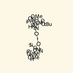 COC(=O)N[C@H](C(=O)N1CCN(C(=O)OC(C)(C)C)C[C@H]1c1nc(-c2ccc(C#Cc3ccc(-c4cnc([C@@H]5CCCN5C(=O)[C@@H](NC(=O)OC)C(C)C)n4COCC[Si](C)(C)C)cc3)cc2)c[nH]1)C(C)C